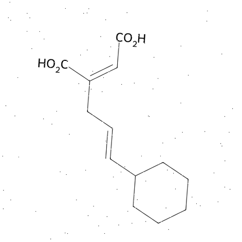 O=C(O)C=C(CC=CC1CCCCC1)C(=O)O